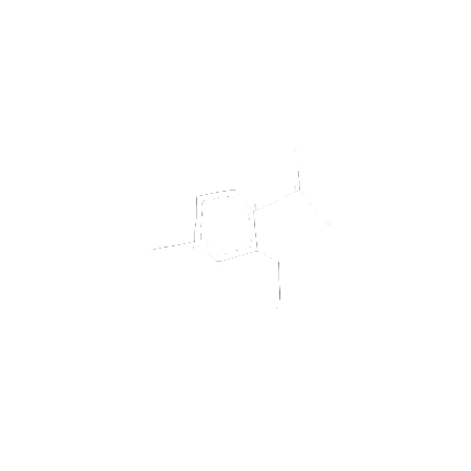 ClCc1cc(I)ccc1C(Br)Br